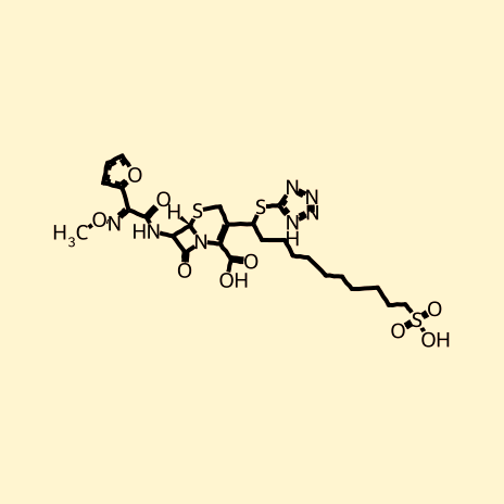 CON=C(C(=O)NC1C(=O)N2C(C(=O)O)=C(C(CCCCCCCCCCS(=O)(=O)O)Sc3nnn[nH]3)CS[C@@H]12)c1ccco1